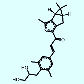 Cc1cc(/C=C/C(=O)c2sc(C)c3c2C[C@@H]2[C@H]3C2(C)C)cc(C)c1CC(O)CO